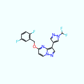 Fc1ccc(F)c(COc2ccn3ncc(-c4cnn(C(F)F)c4)c3n2)c1